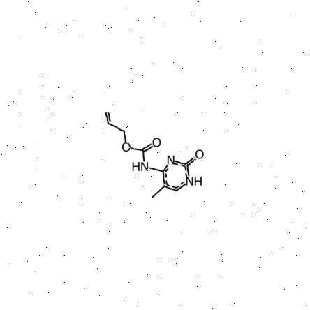 C=CCOC(=O)Nc1nc(=O)[nH]cc1C